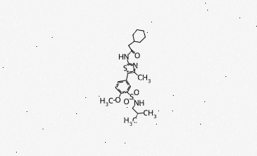 COc1ccc(-c2sc(NC(=O)CC3CCCCC3)nc2C)cc1S(=O)(=O)NCC(C)C